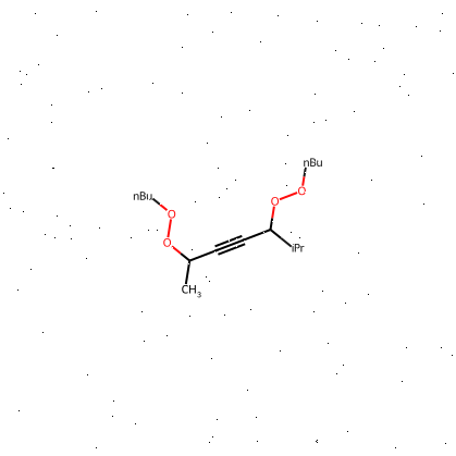 CCCCOOC(C)C#CC(OOCCCC)C(C)C